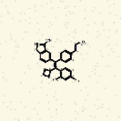 N#CC1NNc2ccc(/C(=C(/c3ccc(F)cc3Cl)C3CCC3)c3ccc(/C=C/C(=O)O)cc3)cc21